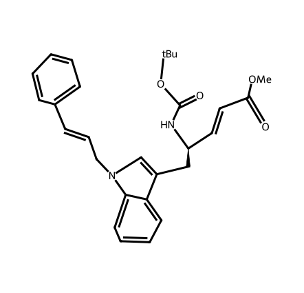 COC(=O)C=C[C@@H](Cc1cn(CC=Cc2ccccc2)c2ccccc12)NC(=O)OC(C)(C)C